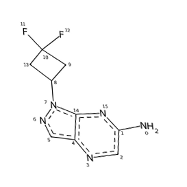 Nc1cnc2cnn(C3CC(F)(F)C3)c2n1